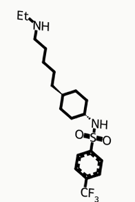 CCNCCCCC[C@H]1CC[C@H](NS(=O)(=O)c2ccc(C(F)(F)F)cc2)CC1